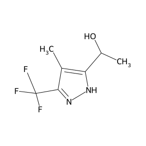 Cc1c(C(F)(F)F)n[nH]c1C(C)O